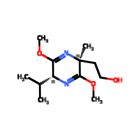 COC1=N[C@@](C)(CCO)C(OC)=N[C@@H]1C(C)C